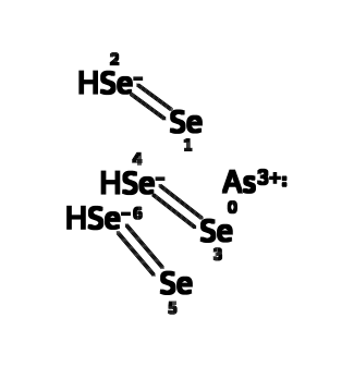 [As+3].[Se]=[SeH-].[Se]=[SeH-].[Se]=[SeH-]